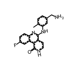 Cc1ccc(CN)cc1Nc1nc2ccc(F)cc2c2c(=O)[nH]ccc12